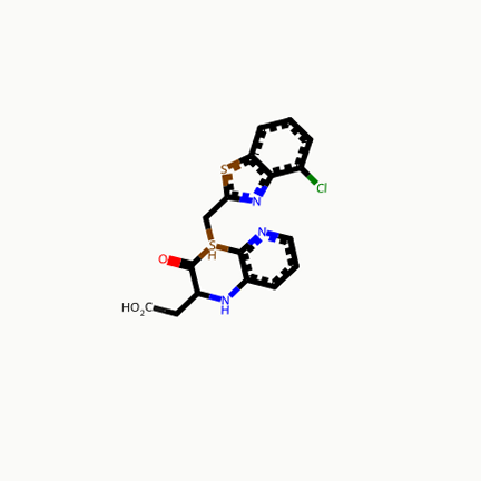 O=C(O)CC1Nc2cccnc2[SH](Cc2nc3c(Cl)cccc3s2)C1=O